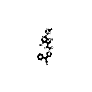 COc1cnc(-n2cnc(C)n2)c2[nH]cc(C(=O)C(=O)N3CCC(=C(C#N)c4ccccc4)C3)c12